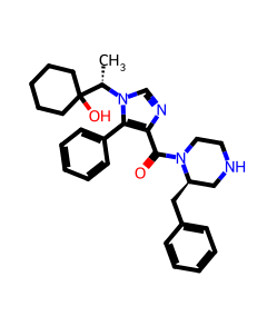 C[C@H](n1cnc(C(=O)N2CCNC[C@H]2Cc2ccccc2)c1-c1ccccc1)C1(O)CCCCC1